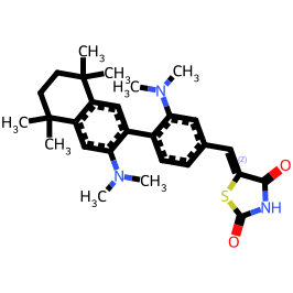 CN(C)c1cc(/C=C2\SC(=O)NC2=O)ccc1-c1cc2c(cc1N(C)C)C(C)(C)CCC2(C)C